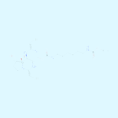 CC(C)(C)OC(=O)NCCCCCCNC(=O)OC[C@@H]1NC(=CS)N2CC[C@H](O)[C@]2(O)[C@H]1NC(N)=CS